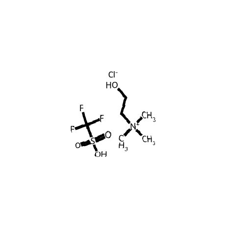 C[N+](C)(C)CCO.O=S(=O)(O)C(F)(F)F.[Cl-]